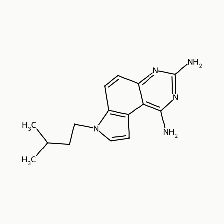 CC(C)CCn1ccc2c3c(N)nc(N)nc3ccc21